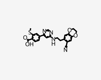 CSc1cc(-c2cc(NCCc3cc4c(cc3C#N)OCCO4)ncn2)ccc1C(=O)O